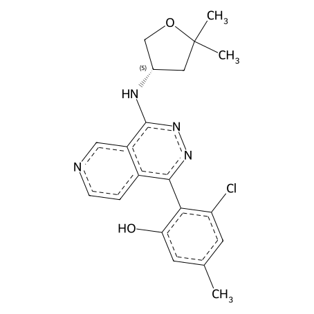 Cc1cc(O)c(-c2nnc(N[C@@H]3COC(C)(C)C3)c3cnccc23)c(Cl)c1